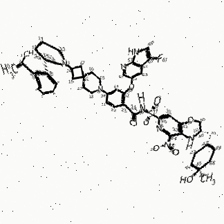 CC(C)c1ccccc1[C@@H]1CCCN1C1CC2(CCN(c3ccc(C(=O)NS(=O)(=O)c4cc5c(c([N+](=O)[O-])n4)N[C@@H](C[C@H]4CC[C@](C)(O)CC4)CO5)c(Oc4cnc5[nH]cc(F)c5c4)c3)CC2)C1